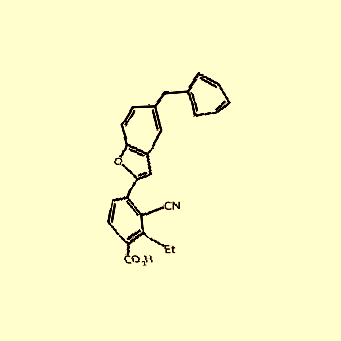 CCc1c(C(=O)O)ccc(-c2cc3cc(Cc4ccccc4)ccc3o2)c1C#N